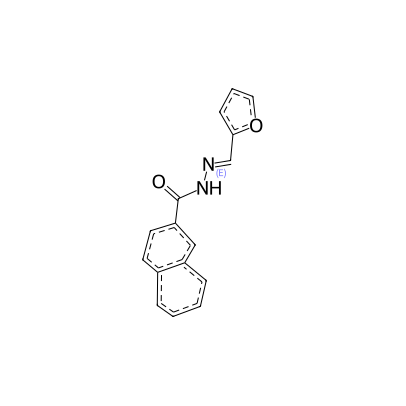 O=C(N/N=C/c1ccco1)c1ccc2ccccc2c1